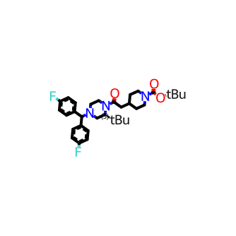 CC(C)(C)OC(=O)N1CCC(CC(=O)N2CCN(C(c3ccc(F)cc3)c3ccc(F)cc3)C[C@@H]2C(C)(C)C)CC1